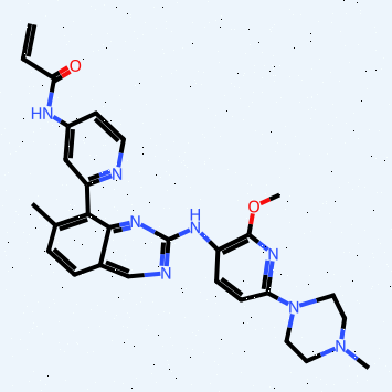 C=CC(=O)Nc1ccnc(-c2c(C)ccc3cnc(Nc4ccc(N5CCN(C)CC5)nc4OC)nc23)c1